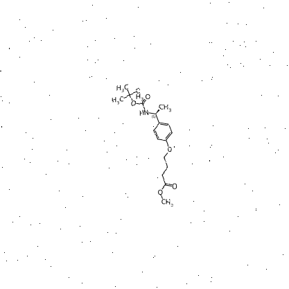 COC(=O)CCCOc1ccc([C@H](C)NC(=O)OC(C)(C)C)cc1